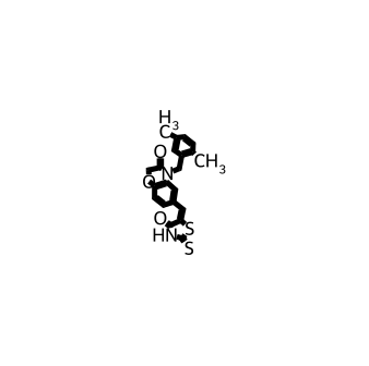 Cc1ccc(C)c(CN2C(=O)COc3ccc(C=C4SC(=S)NC4=O)cc32)c1